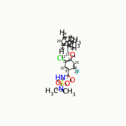 CN(C)S(=O)(=O)NC(=O)c1cc(Cl)c(OC[C@H]2CC[C@H]3C[C@@H]2C3(C)C)cc1F